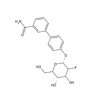 NC(=O)c1cccc(-c2ccc(O[C@H]3OC(CO)[C@@H](O)C(O)C3F)cc2)c1